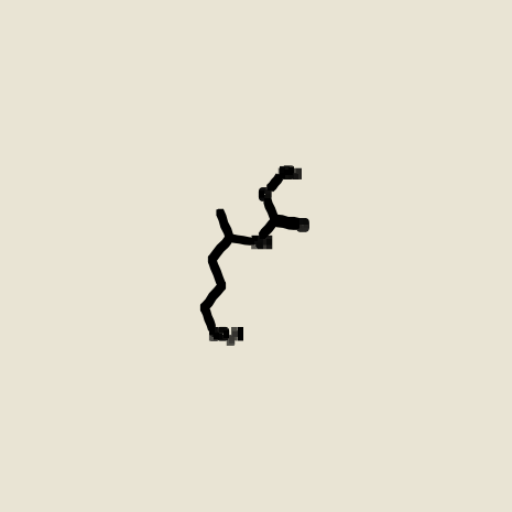 CC(CCCS(=O)(=O)O)NC(=O)OC(C)(C)C